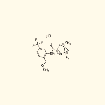 COCc1ccc(C(F)(F)F)nc1NC(=O)[C@@H]1C[C@@]2(C)C[C@H]2N1.Cl